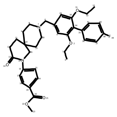 CCOc1cc(CN2CCC3(CCC(=O)N(c4ccc(C(=O)OC)cc4)C3)CC2)cc(OCC)c1-c1ccc(F)cc1